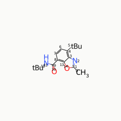 Cc1nc2c(C(C)(C)C)ccc(C(=O)NC(C)(C)C)c2o1